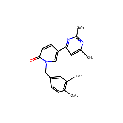 COc1ccc(Cn2cc(-c3cc(C)nc(SC)n3)ccc2=O)cc1OC